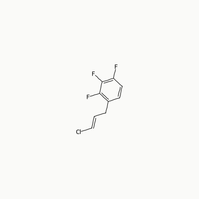 Fc1ccc(CC=CCl)c(F)c1F